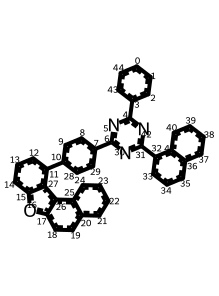 c1ccc(-c2nc(-c3ccc(-c4cccc5oc6ccc7ccccc7c6c45)cc3)nc(-c3cccc4ccccc34)n2)cc1